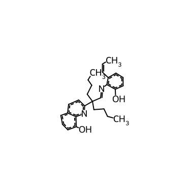 C/C=C\c1cccc(O)c1/N=C/C(CCCC)(CCCC)c1ccc2cccc(O)c2n1